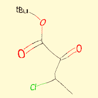 CC(Cl)C(=O)C(=O)OC(C)(C)C